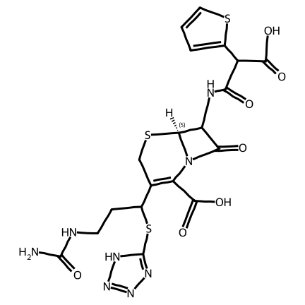 NC(=O)NCCC(Sc1nnn[nH]1)C1=C(C(=O)O)N2C(=O)C(NC(=O)C(C(=O)O)c3cccs3)[C@@H]2SC1